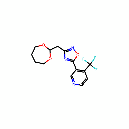 FC(F)(F)c1ccncc1-c1nc(CC2OCCCCO2)no1